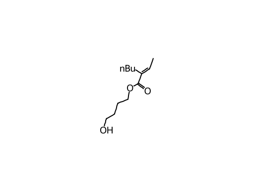 C/C=C(\CCCC)C(=O)OCCCCO